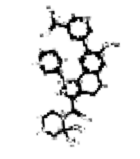 COc1cc2c(cc1-c1cncc(C(N)=O)c1)-c1c(c(C(=O)N3CCOCC3(C)C)nn1-c1cccnc1)CC2